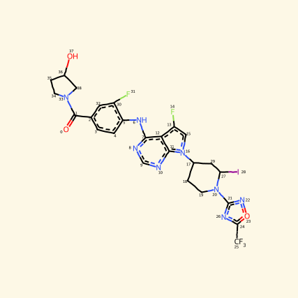 O=C(c1ccc(Nc2ncnc3c2c(F)cn3C2CCN(c3noc(C(F)(F)F)n3)C(I)C2)c(F)c1)N1CCC(O)C1